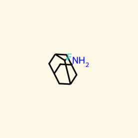 NC12CC3CC(C1)C(F)C(C3)C2